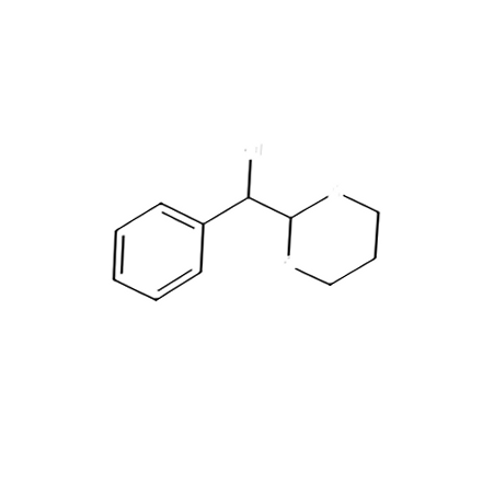 OC(c1ccccc1)C1SCCCS1